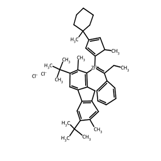 CC/[C](c1ccccc1)=[Zr+2](\[C]1=CC(C2(C)CCCCC2)=CC1C)[c]1c(C)c(C(C)(C)C)cc2c1Cc1cc(C)c(C(C)(C)C)cc1-2.[Cl-].[Cl-]